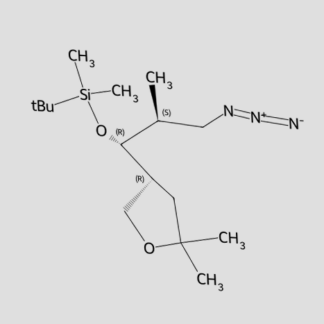 C[C@@H](CN=[N+]=[N-])[C@@H](O[Si](C)(C)C(C)(C)C)[C@H]1COC(C)(C)C1